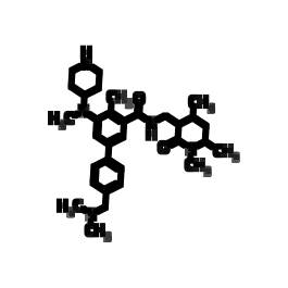 Cc1c(C(=O)NCC2C(=O)N(C)C(C)CC2C)cc(-c2ccc(CN(C)C)cc2)cc1N(C)C1CCNCC1